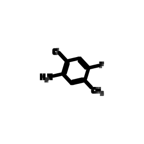 Cc1cc(N)c(Cl)cc1F